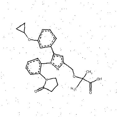 CC(C)(OCc1cc(-c2cccc(OC3CC3)c2)n(-c2ccccc2N2CCCC2=O)n1)C(=O)O